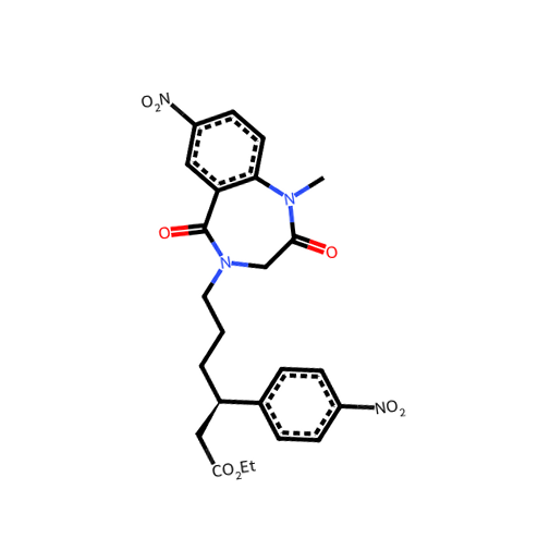 CCOC(=O)C[C@@H](CCCN1CC(=O)N(C)c2ccc([N+](=O)[O-])cc2C1=O)c1ccc([N+](=O)[O-])cc1